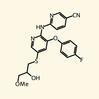 COCC(O)CSc1cnc(Nc2ccc(C#N)cn2)c(Oc2ccc(F)cc2)c1